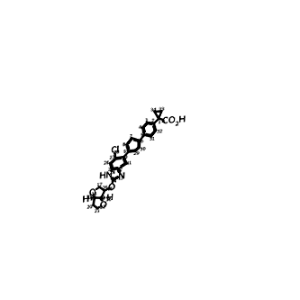 O=C(O)C1(c2ccc(-c3ccc(-c4cc5nc(OC6CO[C@@H]7CCO[C@H]67)[nH]c5cc4Cl)cc3)cc2)CC1